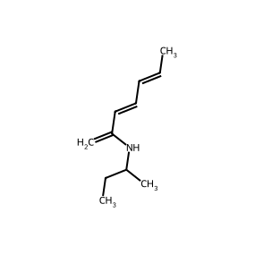 C=C(/C=C/C=C/C)NC(C)CC